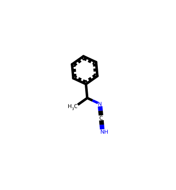 CC(N=C=N)c1ccccc1